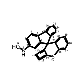 OBc1ccc2c(c1)C1(c3ccccc3Sc3ccccc31)c1ccccc1-2